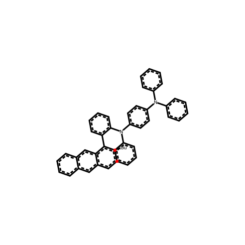 CC(C)(C)c1ccc2cc3ccccc3cc2c1-c1ccccc1N(c1ccccc1)c1ccc(N(c2ccccc2)c2ccccc2)cc1